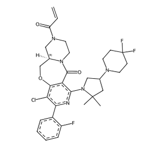 C=CC(=O)N1CCN2C(=O)c3c(N4CC(N5CCC(F)(F)CC5)CC4(C)C)nc(-c4ccccc4F)c(Cl)c3OC[C@H]2C1